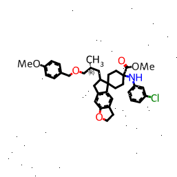 COC(=O)C1(Nc2cccc(Cl)c2)CCC2(CC1)c1cc3c(cc1CC2C[C@@H](C)COCc1ccc(OC)cc1)OCC3